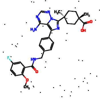 COc1ccc(F)cc1C(=O)NCc1ccc(-c2nc([C@]3(C)CC[C@@](C)(C(=O)O)CC3)n3ncnc(N)c23)cc1